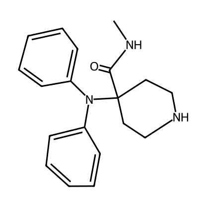 CNC(=O)C1(N(c2ccccc2)c2ccccc2)CCNCC1